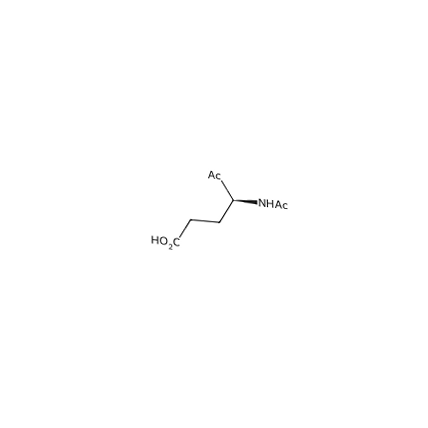 CC(=O)N[C@@H](CCC(=O)O)C(C)=O